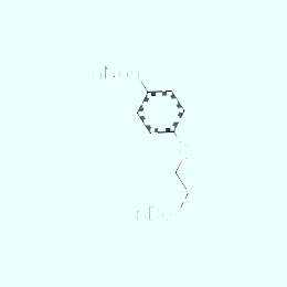 CCCCCCCCCCCCOc1ccc(CCCCCCCCC)cc1